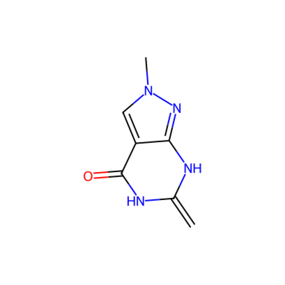 C=C1NC(=O)c2cn(C)nc2N1